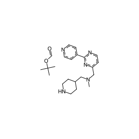 CC(C)(C)OC=O.CN(Cc1ccnc(-c2ccncc2)n1)CC1CCNCC1